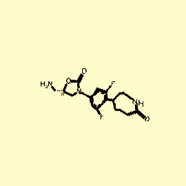 NC[C@H]1CN(c2cc(F)c(C3CCC(=O)NC3)c(F)c2)C(=O)O1